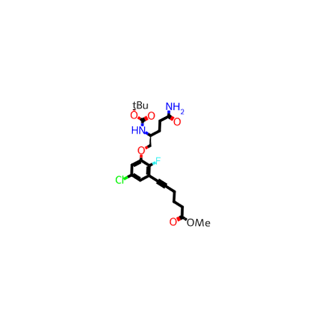 COC(=O)CCCC#Cc1cc(Cl)cc(OC[C@H](CCC(N)=O)NC(=O)OC(C)(C)C)c1F